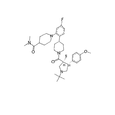 COc1ccc([C@@H]2CN(C(C)(C)C)C[C@@]2(F)C(=O)N2CCC(c3ccc(F)cc3N3CCC(C(=O)N(C)C)CC3)CC2)cc1